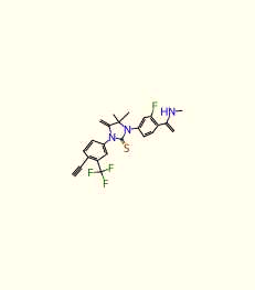 C#Cc1ccc(N2C(=C)C(C)(C)N(c3ccc(C(=C)NC)c(F)c3)C2=S)cc1C(F)(F)F